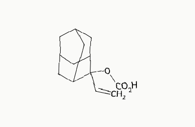 C=CC1(OC(=O)O)C2CC3CC(C2)CC1C3